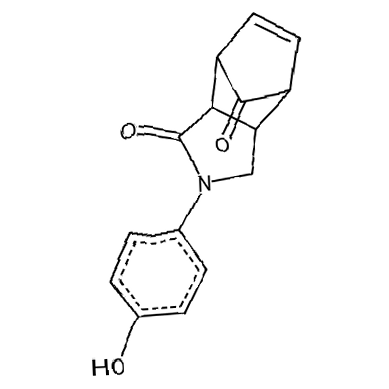 O=C1C2C=CC1C1C(=O)N(c3ccc(O)cc3)CC21